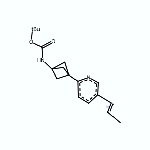 C/C=C/c1ccc(C23CC(NC(=O)OC(C)(C)C)(C2)C3)nc1